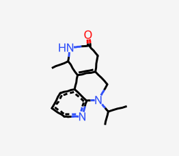 CC1NC(=O)CC2=C1c1cccnc1N(C(C)C)C2